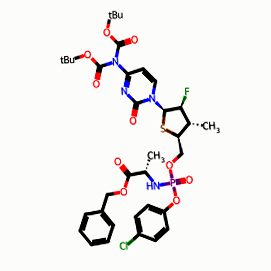 C[C@H]1[C@H](F)[C@H](n2ccc(N(C(=O)OC(C)(C)C)C(=O)OC(C)(C)C)nc2=O)S[C@@H]1COP(=O)(N[C@@H](C)C(=O)OCc1ccccc1)Oc1ccc(Cl)cc1